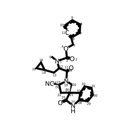 CN(C(=O)OCc1ccccc1)C(CC1CC1)C(=O)N1C[C@]2(C[C@H]1C#N)C(=O)Nc1ccccc12